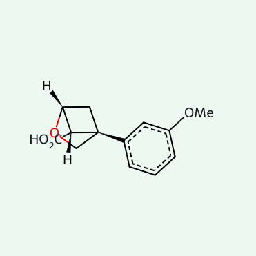 COc1cccc([C@]23CO[C@H](C2)[C@H]3C(=O)O)c1